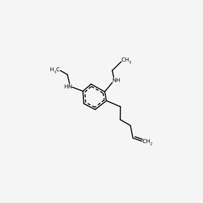 C=CCCCc1ccc(NCC)cc1NCC